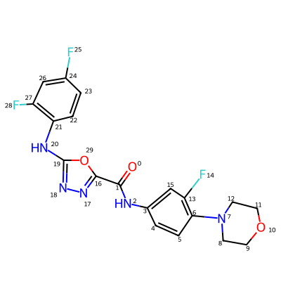 O=C(Nc1ccc(N2CCOCC2)c(F)c1)c1nnc(Nc2ccc(F)cc2F)o1